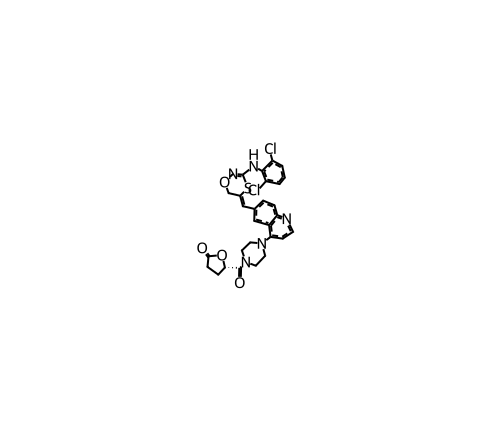 O=C1CC[C@@H](C(=O)N2CCN(c3ccnc4ccc(/C=C5/CON=C(Nc6c(Cl)cccc6Cl)S5)cc34)CC2)O1